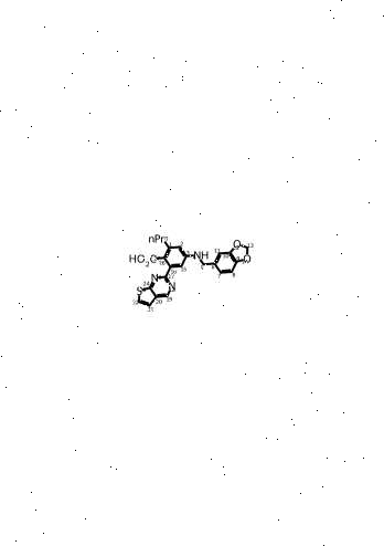 CCCc1cc(NCc2ccc3c(c2)OCO3)cc(-c2ncc3ccsc3n2)c1C(=O)O